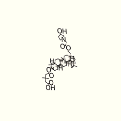 C=C(C)[C@@H]1CC[C@]2(CCOC(=O)CN3CCC(O)C3)CC[C@]3(C)[C@H](CC[C@@H]4[C@@]5(C)CC[C@H](OC(=O)CC(C)(C)CC(=O)O)C(C)(C)[C@@H]5CC[C@]43C)[C@@H]12